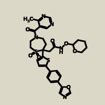 Cc1ncncc1C(=O)N1CCC(CC(=O)NOC2CCCCO2)(c2ccc(-c3ccc(-c4cnco4)cc3)s2)S(=O)(=O)CC1